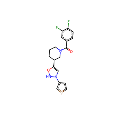 O=C(c1ccc(F)c(F)c1)N1CCC[C@H](C2=CN(c3ccsc3)NO2)C1